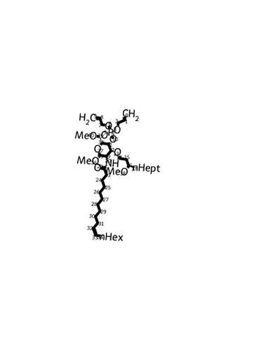 C=CCOP(=O)(OCC=C)O[C@H]1[C@H](OCC[C@@H](CCCCCCC)OC)[C@@H](NC(=O)CCCCCCCCC/C=C\CCCCCC)C(OC)O[C@@H]1COC